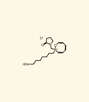 CCCCCCCCCCCCCCCCC[N+]1(CN2CCCC2=O)C=CC=CC=CO1.[Cl-]